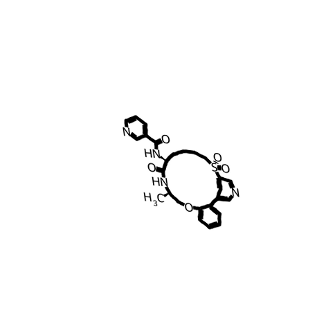 C[C@@H]1COc2ccccc2-c2cncc(c2)S(=O)(=O)CCCC[C@H](NC(=O)c2cccnc2)C(=O)N1